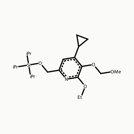 CCOc1nc(CO[Si](C(C)C)(C(C)C)C(C)C)cc(C2CC2)c1OCOC